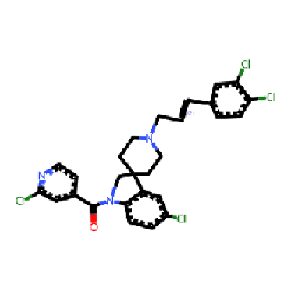 O=C(c1ccnc(Cl)c1)N1CC2(CCN(C/C=C/c3ccc(Cl)c(Cl)c3)CC2)c2cc(Cl)ccc21